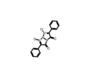 O=c1c(-c2ccccc2)[n+]([O-])n2n1c(=O)c(-c1ccccc1)[n+]2[O-]